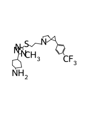 Cn1c(SCCCN2CC[C@]3(CC3c3ccc(C(F)(F)F)cc3)C2)nnc1C1CCC(N)CC1